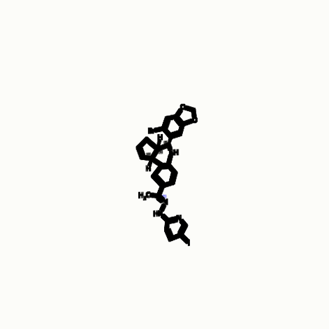 C/C(=N\Nc1ccc(I)cn1)c1ccc2c(c1)[C@@H]1C=CC[C@@H]1[C@@H](c1cc3c(cc1Br)OCO3)N2